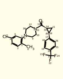 Cc1ccc(Cl)cc1N1CCN(C(=O)[C@H]2C[C@H]2c2ccc(C(F)(F)F)cc2)CC1